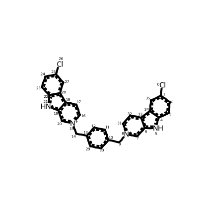 Clc1ccc2[nH]c3c[n+](Cc4ccc(C[n+]5ccc6c(c5)[nH]c5ccc(Cl)cc56)cc4)ccc3c2c1